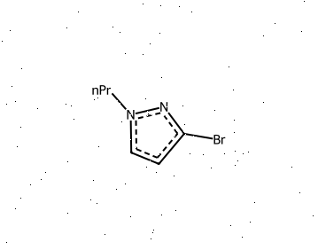 CCCn1ccc(Br)n1